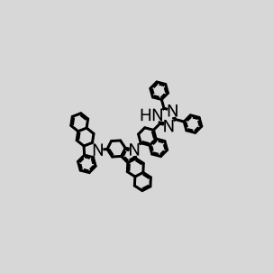 C1=CCC2C=c3c4c(n(C5=c6ccccc6=C(C6=NC(c7ccccc7)=NC(c7ccccc7)N6)CC5)c3=CC2=C1)CCC(N1c2ccccc2C2C=C3C=CC=CC3CC21)=C4